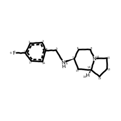 Fc1ccc(CN[C@H]2CCN3CCC[C@H]3C2)cc1